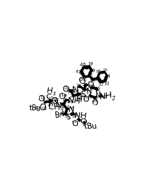 CC(C)(C)OC(=O)Nc1nc(/C(=N/OC(C)(C)C(=O)OC(C)(C)C)C(=O)N[C@@H]2C(=O)N3C[C@@](C(=O)OC(c4ccccc4)c4ccccc4)(N4CCN(N)C(=O)C4=O)S[C@H]23)c(Br)s1